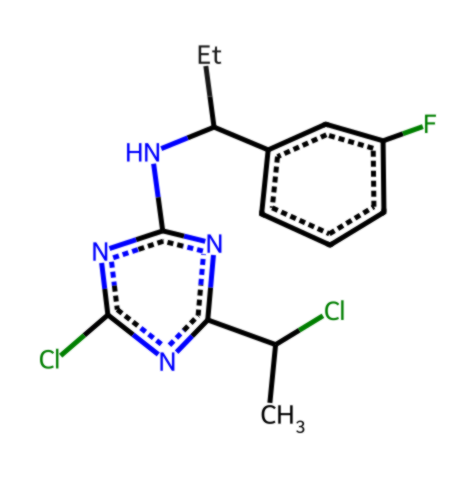 CCC(Nc1nc(Cl)nc(C(C)Cl)n1)c1cccc(F)c1